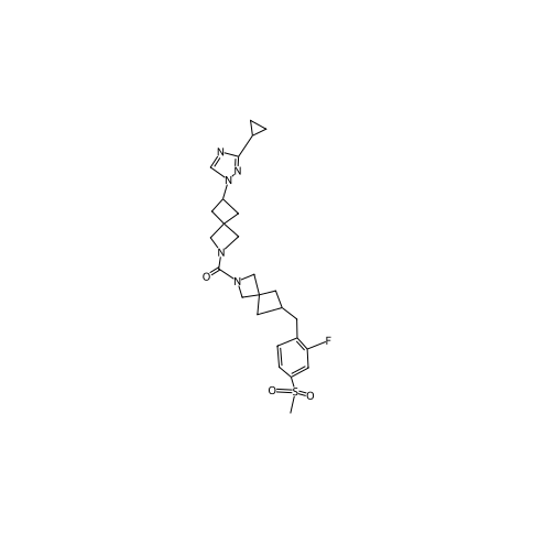 CS(=O)(=O)c1ccc(CC2CC3(C2)CN(C(=O)N2CC4(CC(n5cnc(C6CC6)n5)C4)C2)C3)c(F)c1